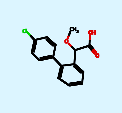 COC(C(=O)O)c1ccccc1-c1ccc(Cl)cc1